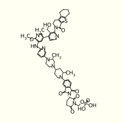 COc1ncc(-c2ccnc(N3CCc4c(sc5c4CCCC5)C3=O)c2[C@H](C)O)cc1Nc1ccc(N2CCN(C3CCN(c4ccc5c(c4)C(=O)N([C@H]4CCC(=O)N(COP(=O)(O)O)C4=O)C5=O)[C@H](C)C3)C[C@@H]2C)cn1